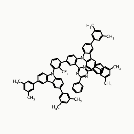 Cc1cc(C)cc(-c2ccc3c(c2)c2cc(-c4cc(C)cc(C)c4)ccc2n3-c2ccc(-c3cccc(-n4c5ccc(-c6cc(C)cc(C)c6)cc5c5cc(-c6cc(C)cc(C)c6)ccc54)c3C(F)(F)F)cc2-c2nc(-c3ccccc3)nc(-c3ccccc3)n2)c1